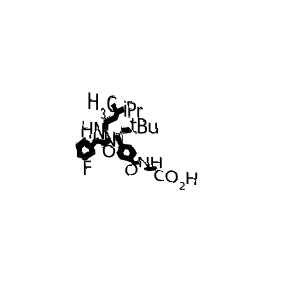 CC(C)C(C)CCC1NC(c2cccc(F)c2)C(=O)N1[C@H](CCC(C)(C)C)c1ccc(C(=O)NCCC(=O)O)cc1